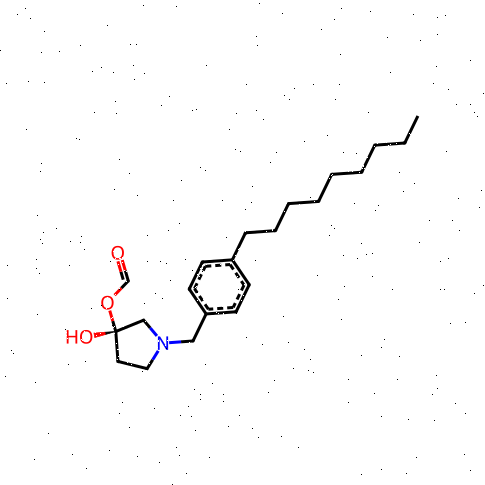 CCCCCCCCCc1ccc(CN2CC[C@](O)(OC=O)C2)cc1